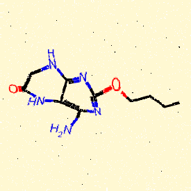 CCCCOc1nc(N)c2c(n1)NCC(=O)N2